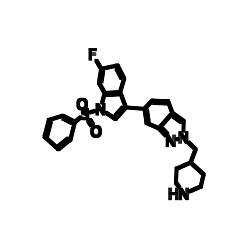 O=S(=O)(c1ccccc1)n1cc(-c2ccc3cn(CC4CCNCC4)nc3c2)c2ccc(F)cc21